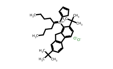 CCCC[C](CCCC)=[Zr+2]([C]1=CC=CC1)[c]1c(C(C)(C)C)ccc2c1Cc1cc(C(C)(C)C)ccc1-2.[Cl-].[Cl-]